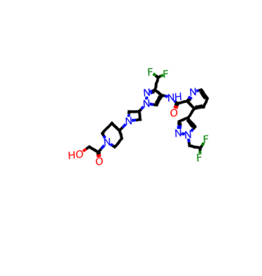 O=C(Nc1cn(C2CN(C3CCN(C(=O)CO)CC3)C2)nc1C(F)F)c1ncccc1-c1cnn(CC(F)F)c1